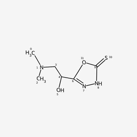 CN(C)CC(O)c1n[nH]c(=S)o1